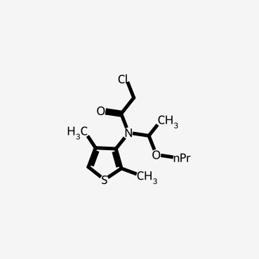 CCCOC(C)N(C(=O)CCl)c1c(C)csc1C